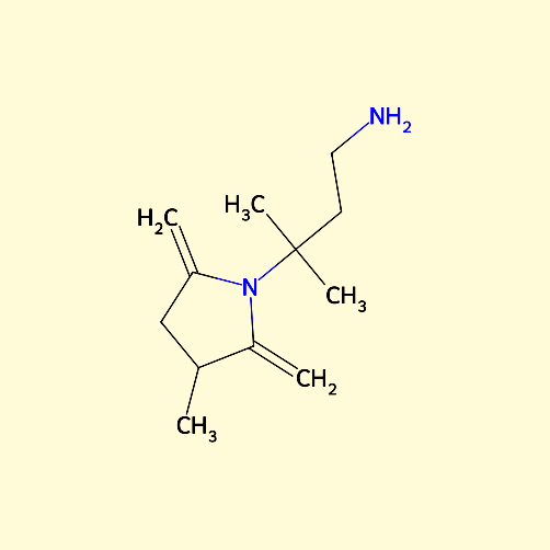 C=C1CC(C)C(=C)N1C(C)(C)CCN